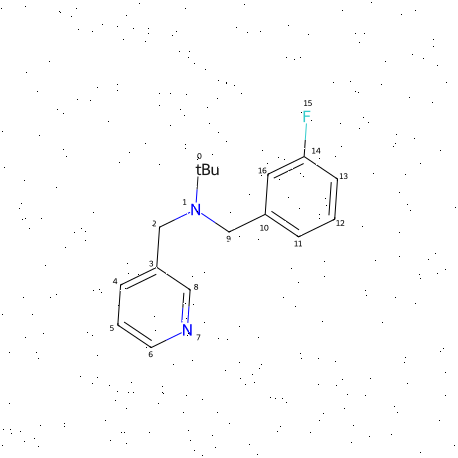 CC(C)(C)N(Cc1cccnc1)Cc1cccc(F)c1